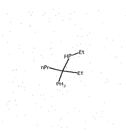 CCCC(P)(CC)PCC